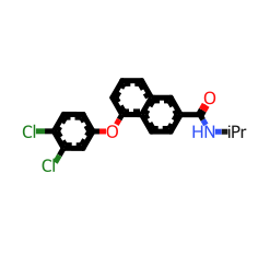 CC(C)NC(=O)c1ccc2c(Oc3ccc(Cl)c(Cl)c3)cccc2c1